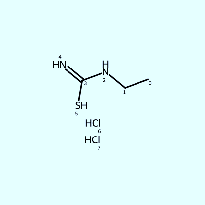 CCNC(=N)S.Cl.Cl